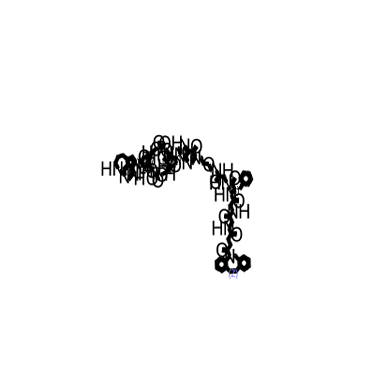 O=C(CCC(=O)N1Cc2ccccc2/C=C\c2ccccc21)NCC(=O)NCC(=O)N[C@@H](Cc1ccccc1)C(=O)NCC(=O)NCOCCn1cnc2c(ncn2[C@@H]2O[C@@H]3COP(=O)(O)O[C@H]4[C@@H](F)[C@H](n5cc6c7c(ncnc75)NCCC6)O[C@@H]4COP(=O)(O)O[C@@H]2[C@@H]3O)c1=O